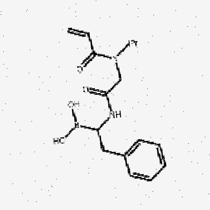 C=CC(=O)N(CC(=O)N[C@@H](Cc1ccccc1)B(O)O)C(C)C